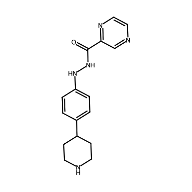 O=C(NNc1ccc(C2CCNCC2)cc1)c1cnccn1